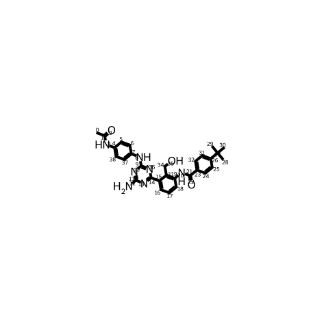 CC(=O)Nc1ccc(Nc2nc(N)nc(-c3cccc(NC(=O)c4ccc(C(C)(C)C)cc4)c3CO)n2)cc1